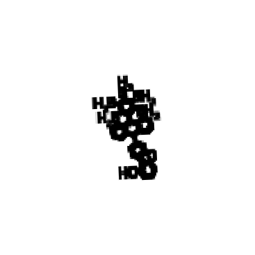 Bc1c(B)c(B)c(-c2c3ccccc3c(-c3ccc4c(c3)oc3cccc(O)c34)c3ccccc23)c(B)c1B